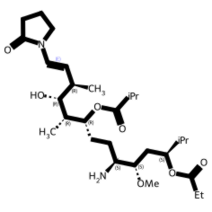 CCC(=O)O[C@@H](C[C@H](OC)[C@@H](N)CC[C@@H](OC(=O)C(C)C)[C@H](C)[C@H](O)[C@H](C)/C=C/N1CCCC1=O)C(C)C